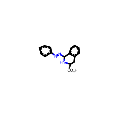 O=C(O)C1Cc2ccccc2C(N=Nc2ccccc2)N1